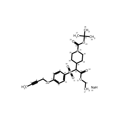 CC#CCOc1ccc(S(=O)(=O)C(C(=O)OCC)C2CCN(C(=O)OC(C)(C)C)CC2)cc1.[NaH]